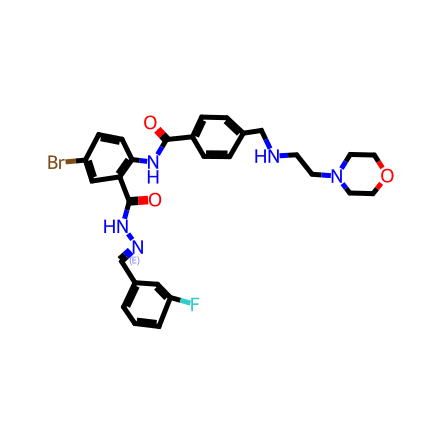 O=C(Nc1ccc(Br)cc1C(=O)N/N=C/c1cccc(F)c1)c1ccc(CNCCN2CCOCC2)cc1